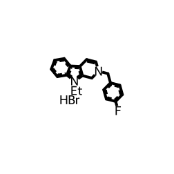 Br.CCn1c2c(c3ccccc31)C=CN(Cc1ccc(F)cc1)C2